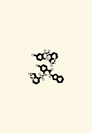 O=C(NC1Cc2ccccc2C1)c1ccc(Cl)cc1NS(=O)(=O)C1=CC=CN2SNC=C12.O=C(O)c1ccc(Cl)cc1NS(=O)(=O)C1=CC=CN2SNC=C12